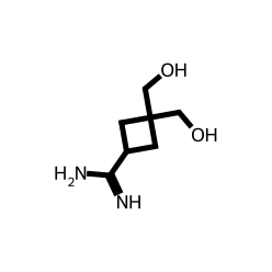 N=C(N)C1CC(CO)(CO)C1